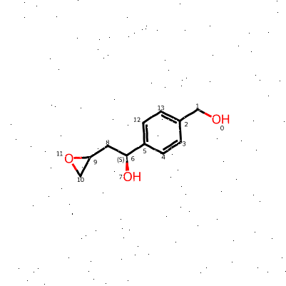 OCc1ccc([C@@H](O)CC2CO2)cc1